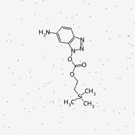 C[Si](C)(C)CCOC(=O)On1nnc2ccc(N)cc21